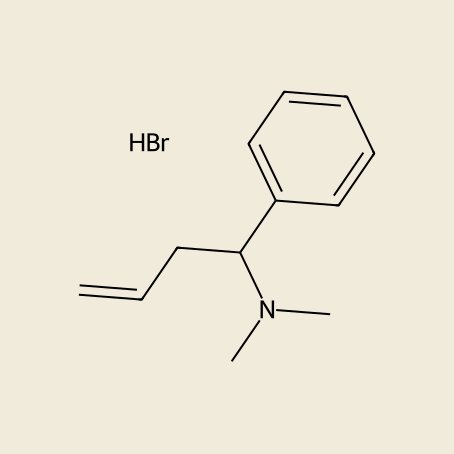 Br.C=CCC(c1ccccc1)N(C)C